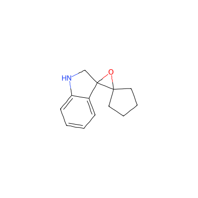 c1ccc2c(c1)NCC21OC12CCCC2